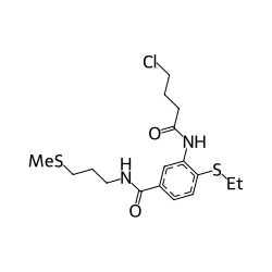 CCSc1ccc(C(=O)NCCCSC)cc1NC(=O)CCCCl